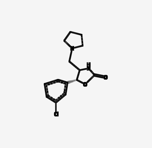 O=C1NC(CN2CCCC2)[C@@H](c2cccc(Cl)c2)O1